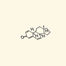 C[C@@]12CCC[C@H]1[C@@H]1C=CC3=CC(=O)C=C[C@@H]3[C@H]1CC2